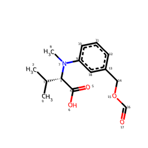 CC(C)[C@@H](C(=O)O)N(C)c1cccc(COC=O)c1